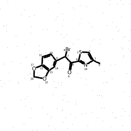 Cc1csc(C(=O)C(Br)c2ccc3c(c2)OCO3)n1